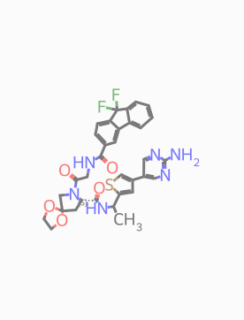 CC(NC(=O)[C@@H]1CC2(CN1C(=O)CNC(=O)c1ccc3c(c1)-c1ccccc1C3(F)F)OCCO2)c1cc(-c2cnc(N)nc2)cs1